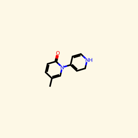 Cc1ccc(=O)n(C2=CCNC=C2)c1